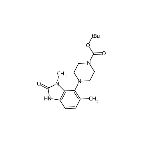 Cc1ccc2[nH]c(=O)n(C)c2c1N1CCN(C(=O)OC(C)(C)C)CC1